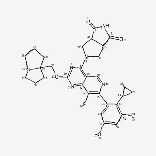 O=C1NC(=O)C2CN(c3nc(OCC45CCCN4CCC5)nc4c(F)c(-c5cc(O)cc(Cl)c5C5CC5)ncc34)CC12